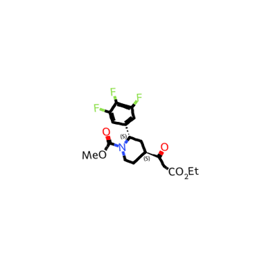 CCOC(=O)CC(=O)[C@H]1CCN(C(=O)OC)[C@H](c2cc(F)c(F)c(F)c2)C1